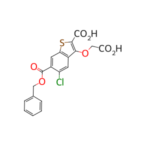 O=C(O)COc1c(C(=O)O)sc2cc(C(=O)OCc3ccccc3)c(Cl)cc12